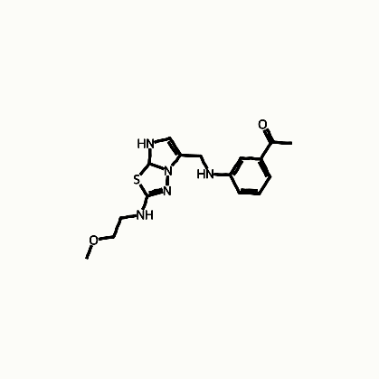 COCCNC1=NN2C(CNc3cccc(C(C)=O)c3)=CNC2S1